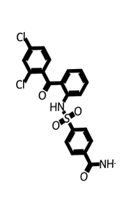 [NH]C(=O)c1ccc(S(=O)(=O)Nc2ccccc2C(=O)c2ccc(Cl)cc2Cl)cc1